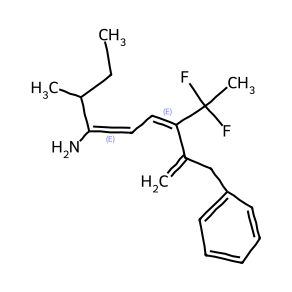 C=C(Cc1ccccc1)/C(=C\C=C(\N)C(C)CC)C(C)(F)F